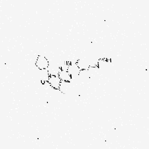 C=C(Nc1ncc2c(C)cc(=O)n(C3CCCCC3)c2n1)/C(C)=C\C=N\C=N